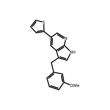 COc1cccc(Cc2c[nH]c3ncc(-c4cccs4)cc23)c1